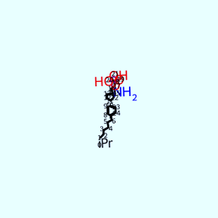 CC(C)CCCCCCc1ccc([C@@H]2CC[C@@](N)(COP(=O)(O)O)C2)cc1